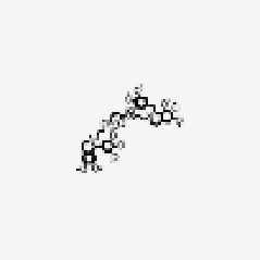 COc1cc2c(cc1OC)C(c1cc(OC)c(OC)c(OC)c1)[N+](C)(CCCOC(=O)/C=C\C(=O)OCCC[N+]1(C)CCc3cc(OC)c(OC)c(OC)c3C1Cc1cc(OC)c(OC)c(OC)c1)CC2